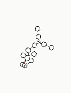 c1ccc(-c2ccc(N(c3ccc(-c4ccccc4)cc3)c3ccc(-c4cccc(C5(c6ccccc6)c6ccccc6C6(c7ccccc7)c7ccccc7-c7cccc5c76)c4)cc3)cc2)cc1